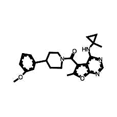 COc1cccc(C2CCN(C(=O)c3c(C)oc4ncnc(NC5(C)CC5)c34)CC2)c1